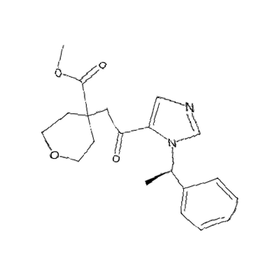 COC(=O)C1(CC(=O)c2cncn2[C@H](C)c2ccccc2)CCOCC1